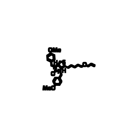 C=CCOCCCCC[C@@H]1SC[C@H]2[C@@H]1N(Cc1ccc(OC)cc1)C(=O)N2Cc1ccc(OC)cc1